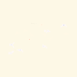 CNC1C(OC2OC(C)C(NC(=N)N)CC2O)OC2CC(N)C(OC3CC(O)C(N)CC3N)OC2C1O